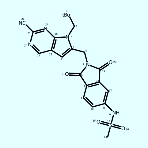 CC(C)(C)Cn1c(CN2C(=O)c3ccc(NS(C)(=O)=O)cc3C2=O)cc2cnc(C#N)nc21